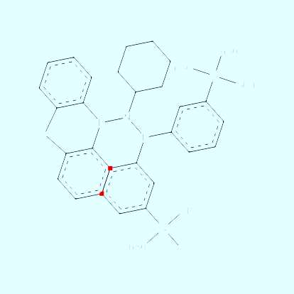 CCCC[Si](CCCC)(CCCC)c1cccc(P(c2cccc([Si](CCCC)(CCCC)CCCC)c2)N(C2CCCCC2)P(c2ccccc2C)c2ccccc2C)c1